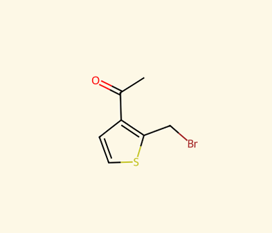 CC(=O)c1ccsc1CBr